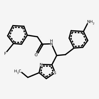 CCc1csc(C(Cc2ccc(N)cc2)NC(=O)Cc2cccc(F)c2)n1